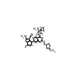 CN1CC[C@H](COc2nc(NCC3(N(C)C)CCC3)c3cnc(-c4ccc(F)c5sc(N)c(C#N)c45)cc3n2)C1